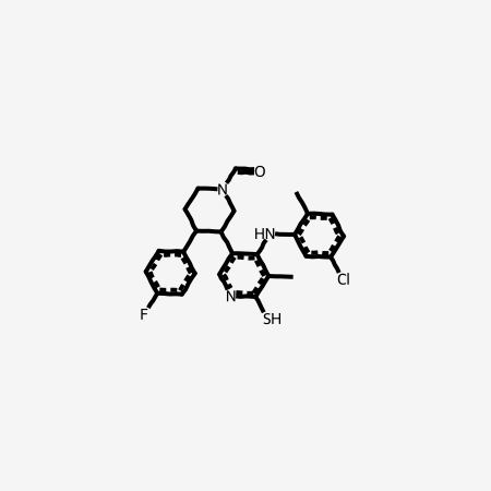 Cc1ccc(Cl)cc1Nc1c(C2CN(C=O)CCC2c2ccc(F)cc2)cnc(S)c1C